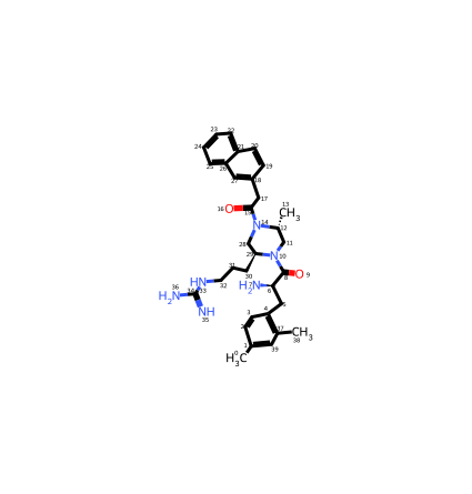 Cc1ccc(C[C@@H](N)C(=O)N2C[C@@H](C)N(C(=O)Cc3ccc4ccccc4c3)C[C@@H]2CCCNC(=N)N)c(C)c1